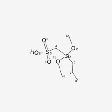 CCC[Si](CS(=O)(=O)O)(OC)OC